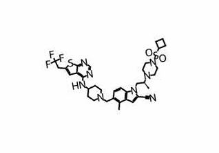 Cc1c(CN2CCC(Nc3ncnc4sc(CC(F)(F)F)cc34)CC2)ccc2c1cc(C#N)n2C[C@H](C)N1CCN(S(=O)(=O)C2CCC2)CC1